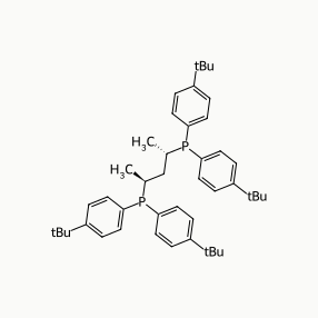 C[C@@H](C[C@H](C)P(c1ccc(C(C)(C)C)cc1)c1ccc(C(C)(C)C)cc1)P(c1ccc(C(C)(C)C)cc1)c1ccc(C(C)(C)C)cc1